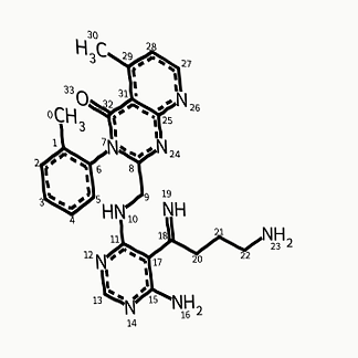 Cc1ccccc1-n1c(CNc2ncnc(N)c2C(=N)CCCN)nc2nccc(C)c2c1=O